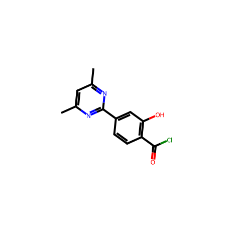 Cc1cc(C)nc(-c2ccc(C(=O)Cl)c(O)c2)n1